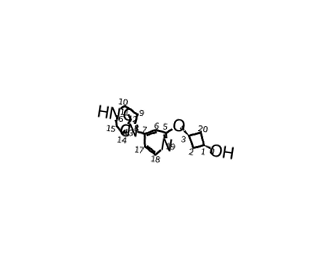 O[C@H]1C[C@@H](Oc2cc(N3CC4CCCC3CN4)ccn2)C1